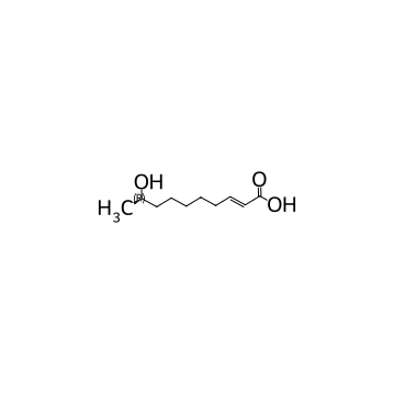 C[C@@H](O)CCCCCC=CC(=O)O